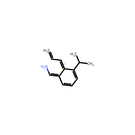 C=C/C=c1/c(C(C)C)ccc/c1=C/N